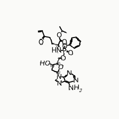 C=CC(=O)CC[C@H](NP(=O)(OC[C@H]1O[C@@H](n2cnc3c(N)ncnc32)C[C@H]1O)Oc1ccccc1)C(=O)OC(C)C